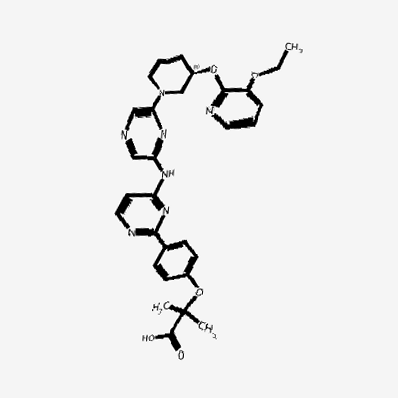 CCOc1cccnc1O[C@@H]1CCCN(c2cncc(Nc3ccnc(-c4ccc(OC(C)(C)C(=O)O)cc4)n3)n2)C1